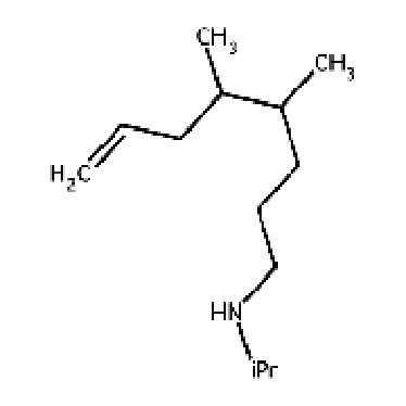 C=CCC(C)C(C)CCCNC(C)C